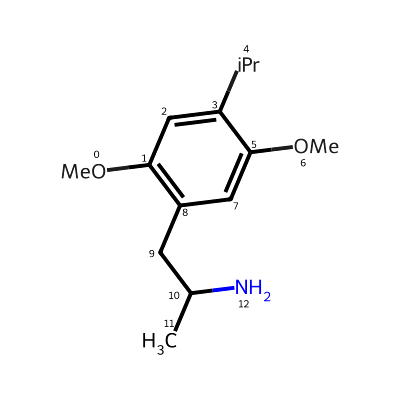 COc1cc(C(C)C)c(OC)cc1CC(C)N